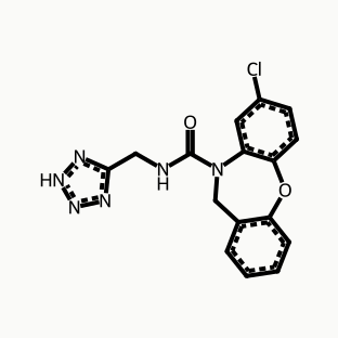 O=C(NCc1nn[nH]n1)N1Cc2ccccc2Oc2ccc(Cl)cc21